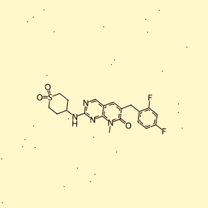 Cn1c(=O)c(Cc2ccc(F)cc2F)cc2cnc(NC3CCS(=O)(=O)CC3)nc21